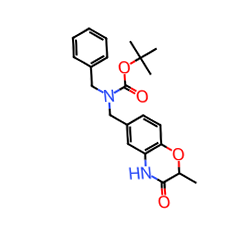 CC1Oc2ccc(CN(Cc3ccccc3)C(=O)OC(C)(C)C)cc2NC1=O